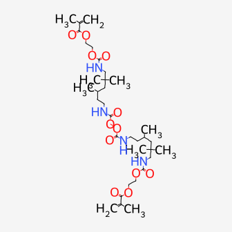 C=C(C)C(=O)OCCOC(=O)NCC(C)(C)CC(C)CCNC(=O)OOC(=O)NCCC(C)CC(C)(C)CNC(=O)OCCOC(=O)C(=C)C